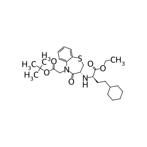 CCOC(=O)[C@@H](CCC1CCCCC1)N[C@H]1CSc2ccccc2N(CC(=O)OC(C)(C)C)C1=O